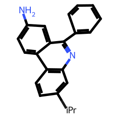 CC(C)c1ccc2c(c1)nc(-c1ccccc1)c1cc(N)ccc12